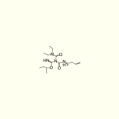 C=CCSNC(=O)N(C(=N)OC(C)CC)C(=O)N(CC)CC